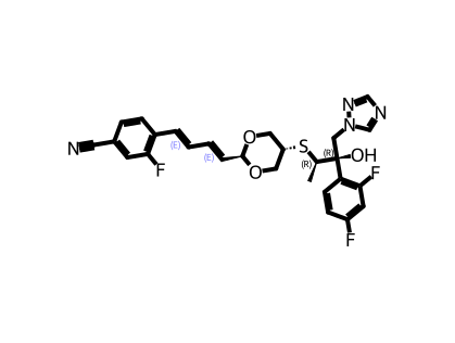 C[C@@H](S[C@H]1CO[C@H](/C=C/C=C/c2ccc(C#N)cc2F)OC1)[C@](O)(Cn1cncn1)c1ccc(F)cc1F